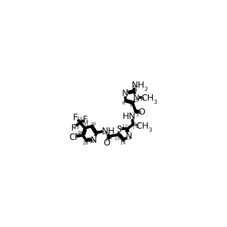 C[C@@H](NC(=O)c1cnc(N)n1C)c1ncc(C(=O)Nc2cc(C(F)(F)F)c(Cl)cn2)s1